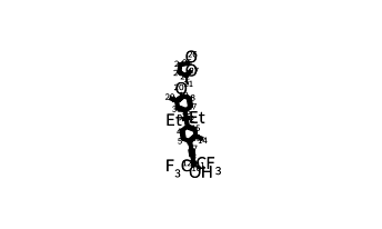 CCC(CC)(c1ccc(C#CC(O)(C(F)(F)F)C(F)(F)F)c(C)c1)c1ccc(OC[C@H]2CCC(=O)O2)c(C)c1